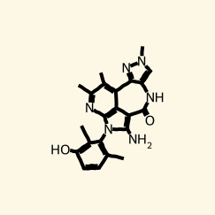 Cc1ccc(O)c(C)c1-n1c(N)c2c3c(c(C)c(C)nc31)-c1nn(C)cc1NC2=O